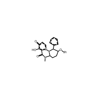 CC(C)OC1CCC2N(C)C(=O)c3c(O)c(=O)ccn3N2C1c1ccccc1